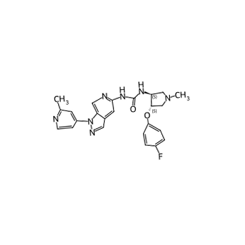 Cc1cc(-n2ncc3cc(NC(=O)N[C@H]4CN(C)C[C@@H]4Oc4ccc(F)cc4)ncc32)ccn1